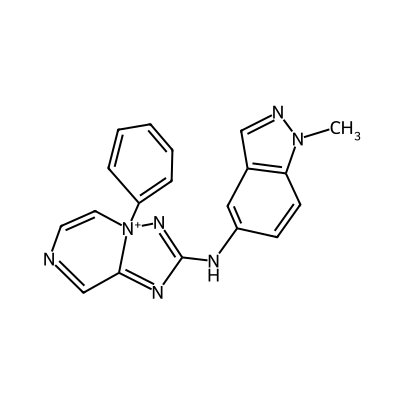 Cn1ncc2cc(NC3=N[N+]4(c5ccccc5)C=CN=CC4=N3)ccc21